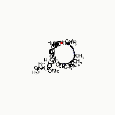 CO[C@H]1C[C@@H]2CC[C@@H](C)[C@@](O)(O2)C(=O)C(=O)N2CCCC[C@H]2C(=O)O[C@H]([C@H](C)C[C@@H]2CC[C@@H](OC(=O)CNC(=O)SS)[C@H](OC)C2)CC(=O)[C@H](C)/C=C(\C)[C@@H](O)[C@@H](OC)C(=O)[C@H](C)C[C@H](C)/C=C/C=C/C=C/1C